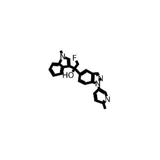 Cc1ccc(-n2ncc3cc(C(O)(CF)c4cn(C)c5ccccc45)ccc32)cn1